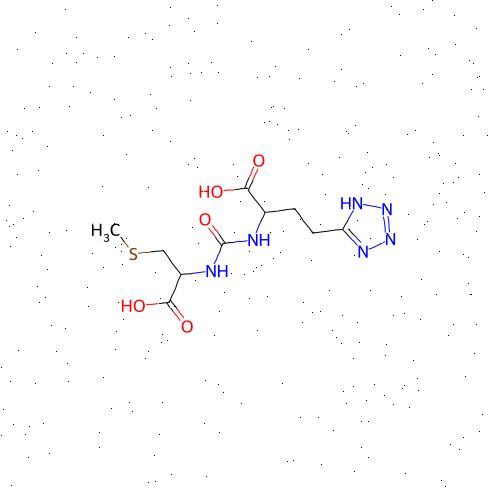 CSCC(NC(=O)NC(CCc1nnn[nH]1)C(=O)O)C(=O)O